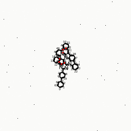 c1ccc(-c2ccc(-c3nc(-c4ccccc4)nc(-n4c5ccccc5c5ccc6c7ccccc7n(-c7ccccc7-c7cccc(-c8ccccc8)n7)c6c54)n3)cc2)cc1